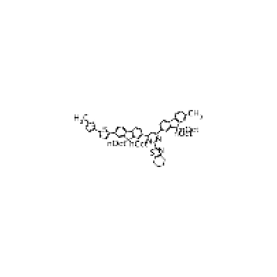 CCCCCCCCC1(CCCCCCCC)c2cc(C)ccc2-c2ccc(-c3cc(-c4ccc5c(c4)C(CCCCCCCC)(CCCCCCCC)c4cc(-c6ccc(-c7ccc(C)s7)s6)ccc4-5)nc(-c4nc5c(s4)CCCC5)n3)cc21